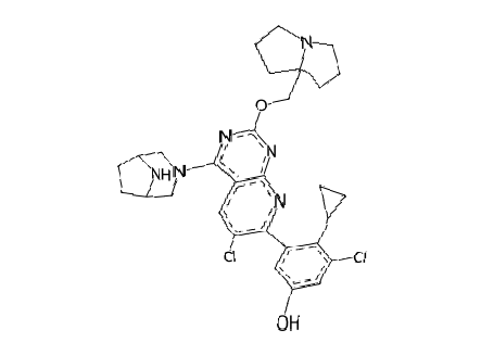 Oc1cc(Cl)c(C2CC2)c(-c2nc3nc(OCC45CCCN4CCC5)nc(N4CC5CCC(C4)N5)c3cc2Cl)c1